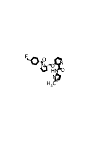 Cn1ccc(NC(=O)c2ncccc2OC[C@@H]2CCCN2C(=O)[C@H]2CC[C@H](CF)CC2)n1